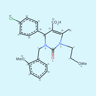 COCCN1C(=O)N(Cc2ccccc2OC)C(c2ccc(Cl)cc2)C(C(=O)O)=C1C